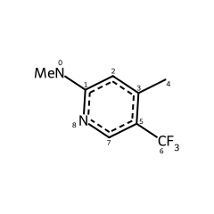 CNc1cc(C)c(C(F)(F)F)cn1